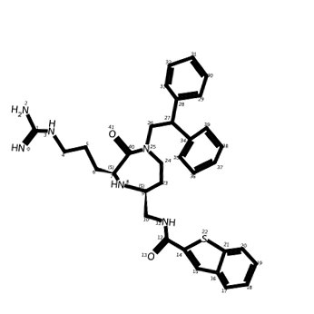 N=C(N)NCCC[C@@H]1N[C@H](CNC(=O)c2cc3ccccc3s2)CCN(CC(c2ccccc2)c2ccccc2)C1=O